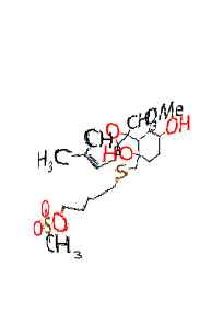 COC1C(O)CCC(O)(CSCCCCOS(C)(=O)=O)C1C1(C)OC1CC=C(C)C